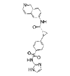 O=C(Nc1ccc2cnccc2c1)[C@@H]1CC1c1ccc(S(=O)(=O)Nc2ncc[nH]2)cc1